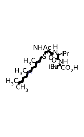 CC[C@H](C)[C@H](NC(=O)[C@@H](NC(=O)[C@H](CSC/C=C(\C)CC/C=C(\C)CCC=C(C)C)NC(C)=O)C(C)C)C(=O)O